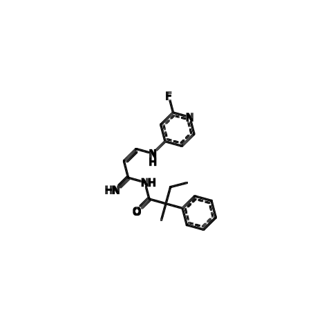 CCC(C)(C(=O)NC(=N)/C=C\Nc1ccnc(F)c1)c1ccccc1